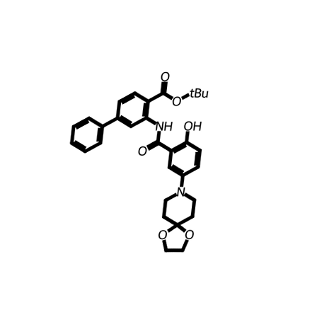 CC(C)(C)OC(=O)c1ccc(-c2ccccc2)cc1NC(=O)c1cc(N2CCC3(CC2)OCCO3)ccc1O